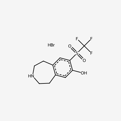 Br.O=S(=O)(c1cc2c(cc1O)CCNCC2)C(F)(F)F